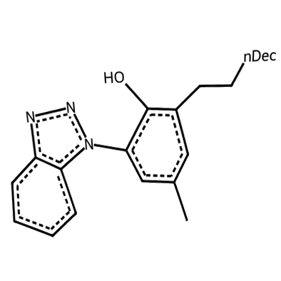 CCCCCCCCCCCCc1cc(C)cc(-n2nnc3ccccc32)c1O